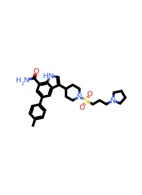 Cc1ccc(-c2cc(C(N)=O)c3[nH]cc(C4CCN(S(=O)(=O)CCCN5CCCC5)CC4)c3c2)cc1